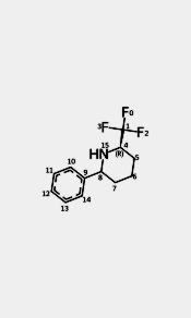 FC(F)(F)[C@H]1CCCC(c2ccccc2)N1